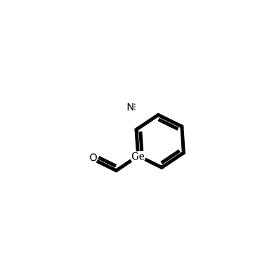 O=[CH][Ge]1=[CH]C=CC=[CH]1.[N]